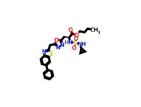 CCCCOC(=O)[C@H](Cc1nnc(Cc2nc3ccc(-c4ccccc4)cc3s2)o1)NS(=O)(=O)NC1CC1